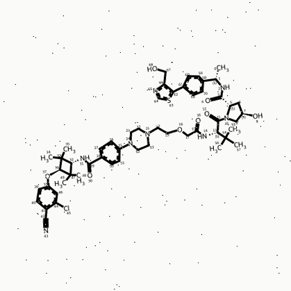 C[C@H](NC(=O)[C@@H]1C[C@@H](O)CN1C(=O)[C@@H](NC(=O)COCCN1CCN(c2ccc(C(=O)N[C@H]3C(C)(C)[C@H](Oc4ccc(C#N)c(Cl)c4)C3(C)C)cc2)CC1)C(C)(C)C)c1ccc(-c2scnc2CO)cc1